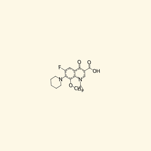 COc1c(N2CCCCC2)c(F)cc2c(=O)c(C(=O)O)cn(C3CC3)c12